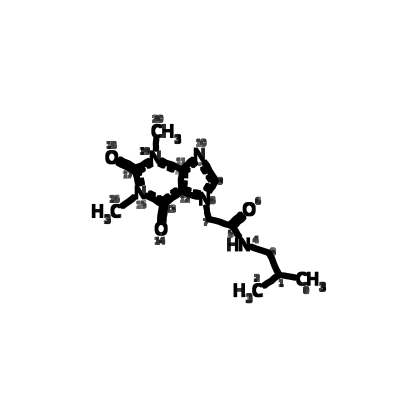 CC(C)CNC(=O)Cn1cnc2c1c(=O)n(C)c(=O)n2C